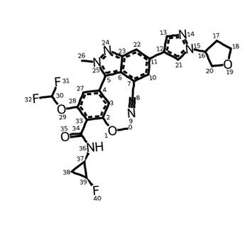 COc1cc(-c2c3c(C#N)cc(-c4cnn(C5CCOC5)c4)cc3nn2C)cc(OC(F)F)c1C(=O)N[C@@H]1C[C@@H]1F